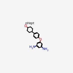 CCCCCCCOC1CCC(c2ccc(Oc3cc(N)cc(N)c3)cc2)CC1